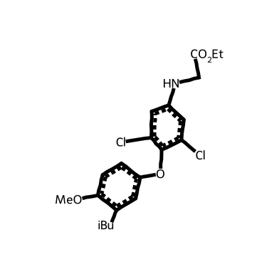 CCOC(=O)CNc1cc(Cl)c(Oc2ccc(OC)c(C(C)CC)c2)c(Cl)c1